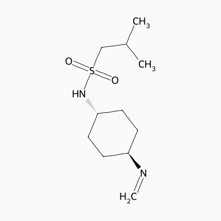 C=N[C@H]1CC[C@H](NS(=O)(=O)CC(C)C)CC1